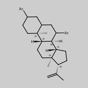 C=C(C)[C@H]1CC[C@H]2[C@@H]3C(C(C)=O)CC4CC(C(C)=O)CC[C@]4(C)[C@H]3CC[C@]12C